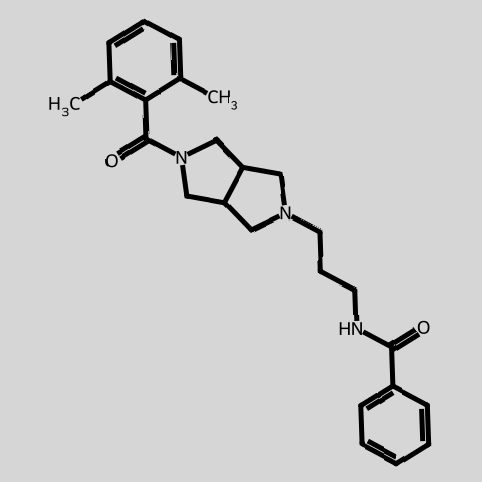 Cc1cccc(C)c1C(=O)N1CC2CN(CCCNC(=O)c3ccccc3)CC2C1